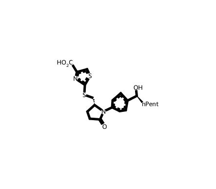 CCCCC[C@H](O)c1ccc(N2C(=O)CC[C@@H]2CSc2nc(C(=O)O)cs2)cc1